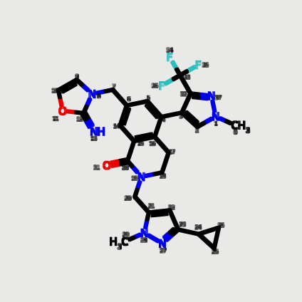 Cn1cc(-c2cc(Cn3ccoc3=N)cc3c2CCN(Cc2cc(C4CC4)nn2C)C3=O)c(C(F)(F)F)n1